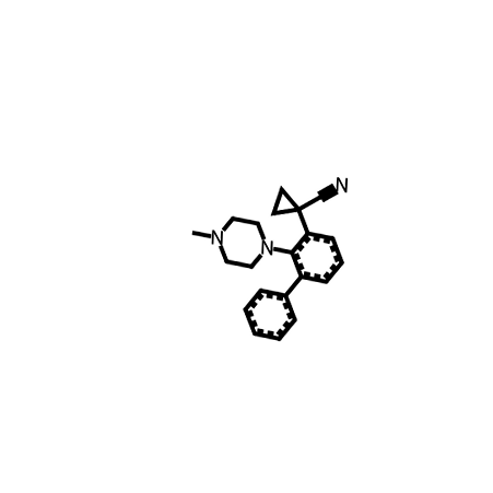 CN1CCN(c2c(-c3ccccc3)cccc2C2(C#N)CC2)CC1